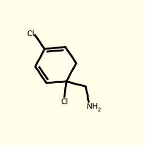 NCC1(Cl)C=CC(Cl)=CC1